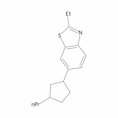 CCCC1CCC(c2ccc3nc(CC)sc3c2)C1